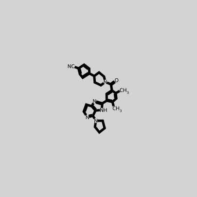 Cc1cc(C)c(-c2nc3ccnc(N4CCCC4)c3[nH]2)cc1C(=O)N1CCC(c2ccc(C#N)cc2)CC1